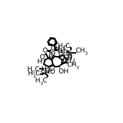 CC[Si](CC)(CC)O[C@H]1CC2(O)[C@@H](OC(=O)c3ccccc3)[C@@H]3[C@]4(OC(C)=O)CO[C@@H]4C[C@H](O[Si](CC)(CC)CC)[C@@]3(C)[C@@H](O)[C@@H](O)C(=C1C)C2(C)C